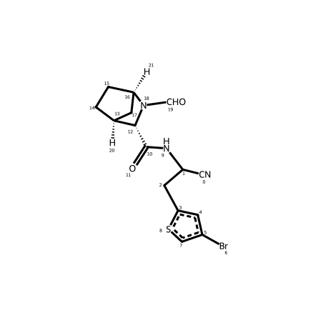 N#CC(Cc1cc(Br)cs1)NC(=O)[C@@H]1[C@H]2CC[C@H](C2)N1C=O